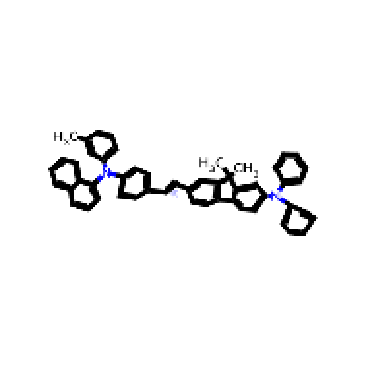 Cc1cccc(N(c2ccc(/C=C/c3ccc4c(c3)C(C)(C)c3cc(N(c5ccccc5)c5ccccc5)ccc3-4)cc2)c2cccc3ccccc23)c1